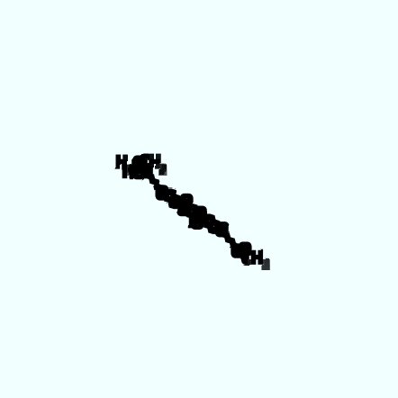 C=CC(=O)OCCCCCCOc1ccc2cc(C(=O)Oc3ccc(OC(=O)c4ccc5cc(OCCCCCCOC(O)C(=C)C)ccc5c4)cc3F)ccc2c1